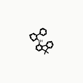 CC1(C)c2ccccc2-c2c(Nc3ccccc3-c3ccccc3)cccc21